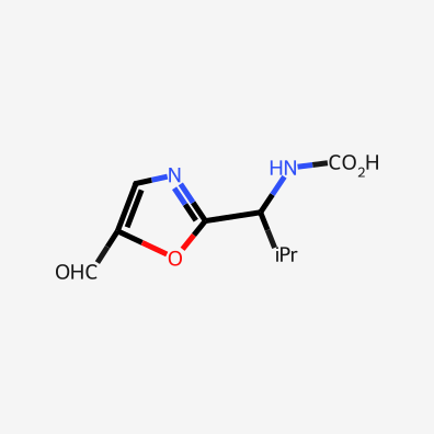 CC(C)C(NC(=O)O)c1ncc(C=O)o1